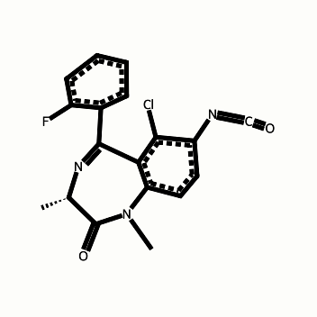 C[C@@H]1N=C(c2ccccc2F)c2c(ccc(N=C=O)c2Cl)N(C)C1=O